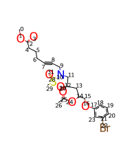 COC(=O)CCCC#CCN(CCCC(COc1cccc(Br)c1)OC(C)=O)S(C)(=O)=O